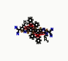 CCC1=CC(=C(C#N)C#N)S/C(=N/c2cc3c(s2)-c2sc4c5c(sc4c2C3(C(=O)OCc2ccccc2)C(=O)OCc2ccccc2)-c2sc(/N=C3/SC(=C(C#N)C#N)N(CC)C3=O)cc2C5(C(=O)OCc2ccccc2)C(=O)OCc2ccccc2)C1=O